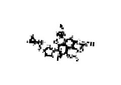 COc1c(N2CC[C@H](CNC3CC3)C2)c(F)c(N)c2c(=O)c(OC(=O)O)cn([C@@H]3C[C@@H]3F)c12